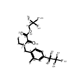 CCN(Cc1ccc(C(F)(F)C(F)(F)F)cc1C)C(=O)C(=O)OCC(F)(F)F